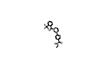 CCNC(=O)c1ccc(N2C=CCN(C(=O)c3ccccc3C(F)(F)F)C2)nc1